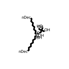 CCCCCCCCCCCCCCCCCCP(O)(O)(CCCCCCCCCCCCCCCCCC)OCC(CO)(CO)CO